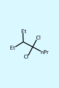 CCCC(Cl)(Cl)C(CC)CC